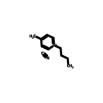 CCCC[n+]1ccc(C)cc1.[C-]#N